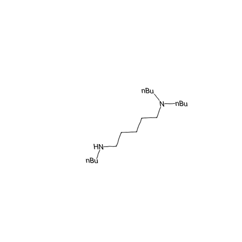 CCCCNCCCCCN(CCCC)CCCC